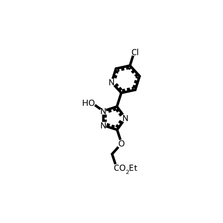 CCOC(=O)COc1nc(-c2ccc(Cl)cn2)n(O)n1